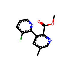 COC(=O)c1ncc(C)cc1-c1ncccc1F